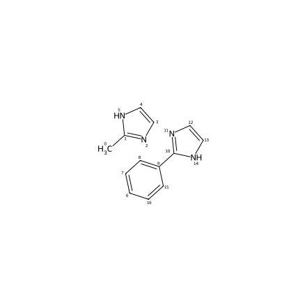 Cc1ncc[nH]1.c1ccc(-c2ncc[nH]2)cc1